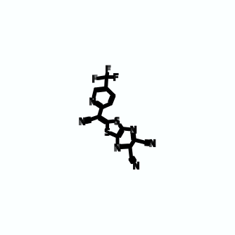 N#CC(=C1Sc2nc(C#N)c(C#N)nc2S1)c1ccc(C(F)(F)F)cn1